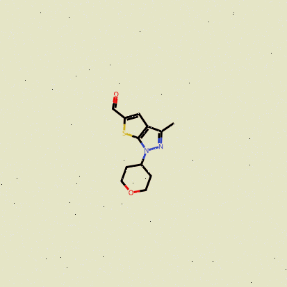 Cc1nn(C2CCOCC2)c2sc(C=O)cc12